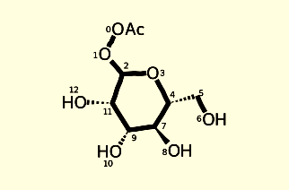 CC(=O)OOC1O[C@H](CO)[C@@H](O)[C@H](O)[C@@H]1O